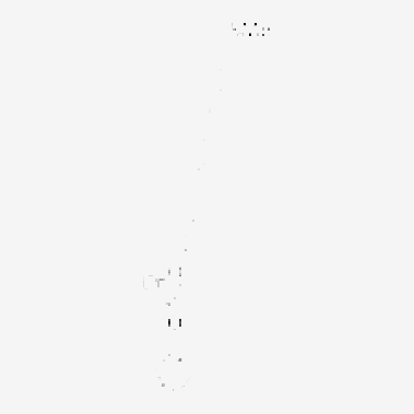 CSCCCCCCCCCCCCCCOCC(CC(C)C)OCc1ccccc1